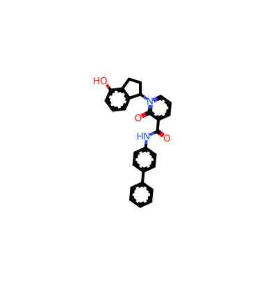 O=C(Nc1ccc(-c2ccccc2)cc1)c1cccn(C2CCc3c(O)cccc32)c1=O